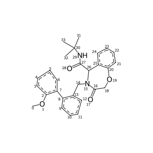 COc1ccccc1-c1ccccc1CN1C(=O)COc2ccccc2C1C(=O)NC(C)(C)C